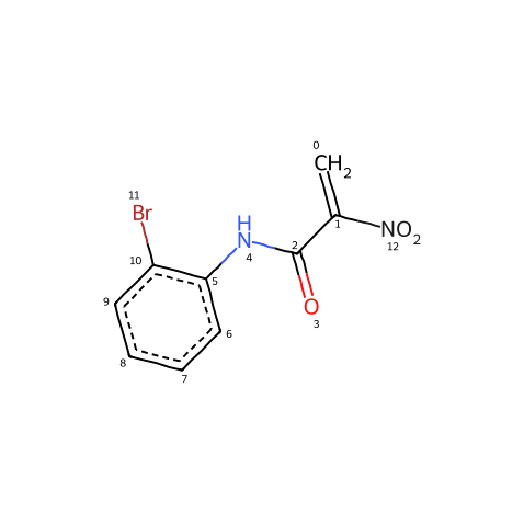 C=C(C(=O)Nc1ccccc1Br)[N+](=O)[O-]